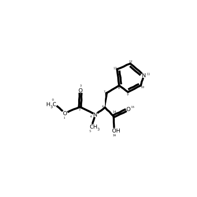 COC(=O)N(C)[C@@H](Cc1ccncc1)C(=O)O